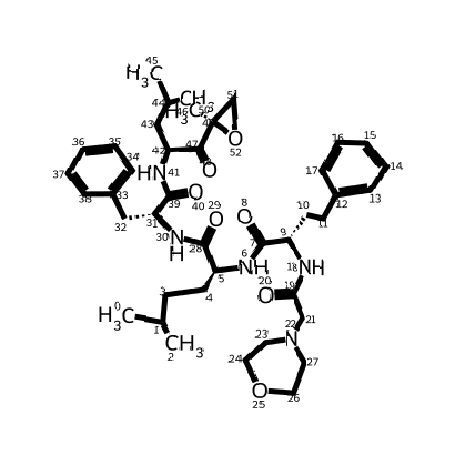 CC(C)CC[C@H](NC(=O)[C@H](CCc1ccccc1)NC(=O)CN1CCOCC1)C(=O)N[C@H](Cc1ccccc1)C(=O)NC(CC(C)C)C(=O)[C@@]1(C)CO1